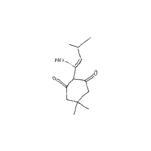 CC(C)C=C(O)C1C(=O)CC(C)(C)CC1=O